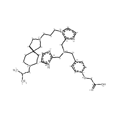 CC(C)CN1CCC2(CC1)CCN(CCCn1ccnc1CN(Cc1ccc(OCC(=O)O)cc1)Cc1ncc[nH]1)C2